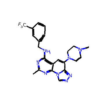 Cc1nc(NCc2cccc(C(F)(F)F)c2)c2cc(N3CCN(C)CC3)c3nncn3c2n1